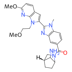 COCCn1c(-c2nc3cc(C(=O)N4C[C@H]5CCC4C5N)ccc3n2C)cc2ccc(OC)nc21